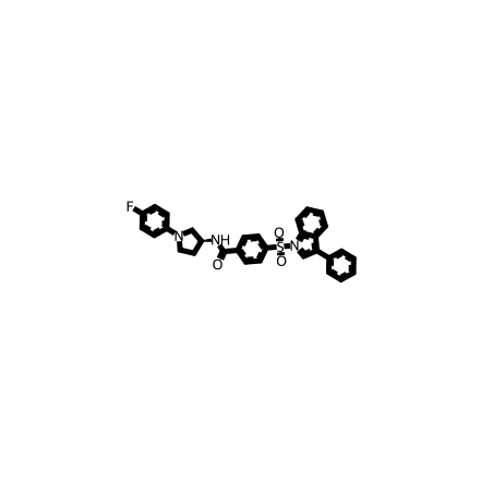 O=C(N[C@H]1CCN(c2ccc(F)cc2)C1)c1ccc(S(=O)(=O)n2cc(-c3ccccc3)c3ccccc32)cc1